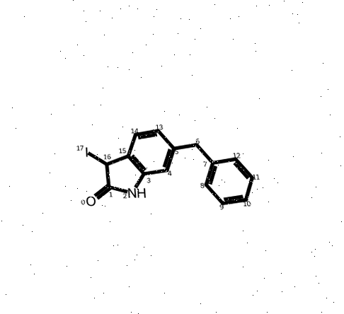 O=C1Nc2cc(Cc3ccccc3)ccc2C1I